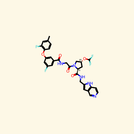 Cc1ccc(Oc2cc(F)cc(C(=O)NCC(=O)N3C[C@H](OC(F)F)C[C@H]3C(=O)NCc3cc4cnccc4[nH]3)c2)c(F)c1